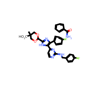 CC1(C(=O)O)COC(c2nc(-c3ccc(F)cc3)c(-c3ccnc(NCc4ccc(F)cc4)n3)[nH]2)OC1.NC(=O)c1ccccc1